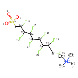 CC[N+](CC)(CC)CC.O=S(=O)([O-])CC(F)C(F)C(F)C(F)C(F)C(F)C(F)CF